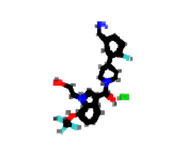 Cl.NCc1ccc(F)c(C2CCN(C(=O)c3cn(CCO)c4c(OC(F)(F)F)cccc34)CC2)c1